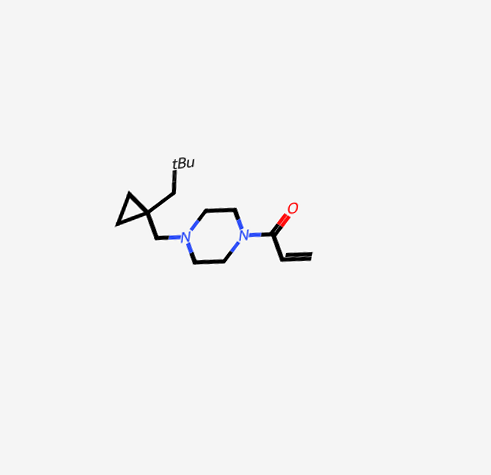 C=CC(=O)N1CCN(CC2(CC(C)(C)C)CC2)CC1